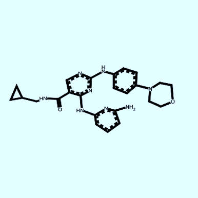 Nc1cccc(Nc2nc(Nc3ccc(N4CCOCC4)cc3)ncc2C(=O)NCC2CC2)n1